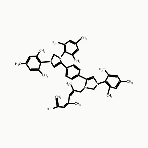 C=C(C)/C=C(C)\C=C(\C)CN1CN(c2c(C)cc(C)cc2C)C=C1c1ccc(C2=CN(c3c(C)cc(C)cc3C)CN2c2c(C)cc(C)cc2C)cc1